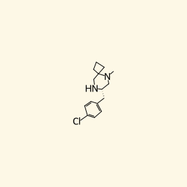 CN1C[C@H](Cc2ccc(Cl)cc2)NCC12CCC2